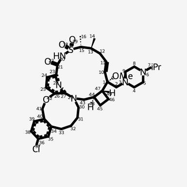 CO[C@@]1(CN2CCN(C(C)C)CC2)/C=C/C[C@H](C)[C@@H](C)S(=O)(=O)NC(=O)c2ccc3c(n2)N(CCCCc2cc(Cl)ccc2CO3)C[C@@H]2CC[C@H]21